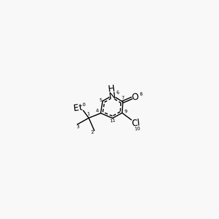 CCC(C)(C)c1c[nH]c(=O)c(Cl)c1